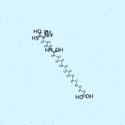 OC(O)CCCCCCCCCCCCCCCCC(O)NCCCCC(NP)C(O)S